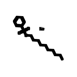 CCCCCCCCCCOS(=O)(=O)c1ccccc1.[Na]